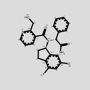 NC(=O)[C@@H](c1ccccc1)N(C(=O)c1cccnc1CO)[C@@H]1CCc2c(F)cc(Cl)cc21